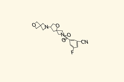 N#Cc1cc(F)cc(S(=O)(=O)N2CC3(CC(N4CC5(COC5)C4)CO3)C2)c1